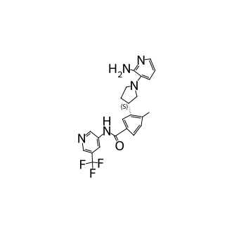 Cc1ccc(C(=O)Nc2cncc(C(F)(F)F)c2)cc1[C@@H]1CCN(c2cccnc2N)C1